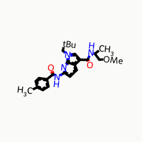 COCC(C)NC(=O)c1cn(CC(C)(C)C)c2nc(NC(=O)c3ccc(C)cc3)ccc12